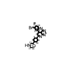 Nc1ncnc2nc(-c3ccc(C4CNCCO4)cc3)cc(-c3ccc(F)c(Br)c3)c12